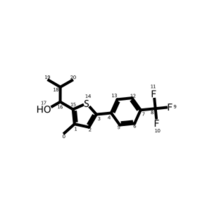 Cc1cc(-c2ccc(C(F)(F)F)cc2)sc1C(O)C(C)C